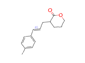 Cc1ccc(/C=C/CC2CCCOC2=O)cc1